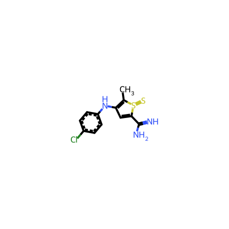 CC1=C(Nc2ccc(Cl)cc2)C=C(C(=N)N)S1=S